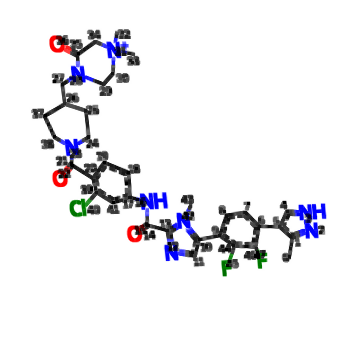 Cc1n[nH]cc1-c1ccc(-c2cnc(C(=O)Nc3ccc(C(=O)N4CCC(CN5CC[N+](C)(C)CC5=O)CC4)c(Cl)c3)n2C)c(F)c1F